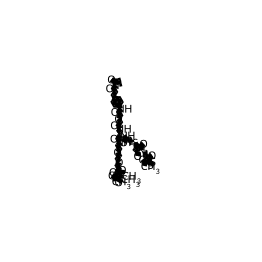 CC(=O)C1(C(=O)CCN2C(=O)CC(SCCC(=O)N[C@H](CNC(=O)COCC(=O)Nc3ccc(CCC(=O)N4CCC4=O)cc3)C(=O)NCCOCCOCCC(=O)C(C(C)=O)(C(C)=O)C(C)=O)C2=O)SS1